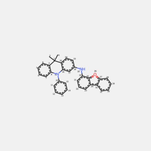 CC1(C)c2ccccc2N(c2ccccc2)c2cc(Nc3cccc4c3oc3ccccc34)ccc21